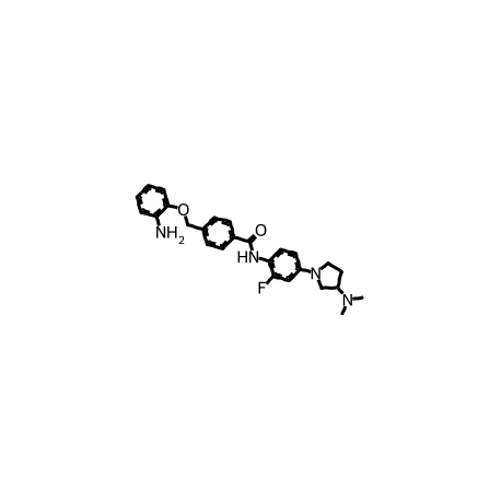 CN(C)C1CCN(c2ccc(NC(=O)c3ccc(COc4ccccc4N)cc3)c(F)c2)C1